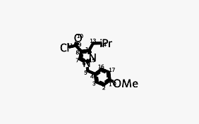 COc1ccc(Cn2cc(C(=O)Cl)c(CC(C)C)n2)cc1